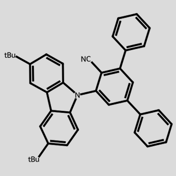 CC(C)(C)c1ccc2c(c1)c1cc(C(C)(C)C)ccc1n2-c1cc(-c2ccccc2)cc(-c2ccccc2)c1C#N